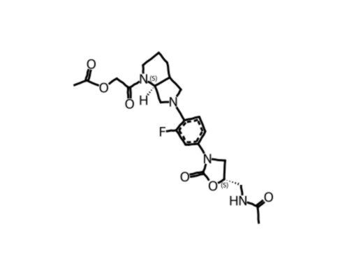 CC(=O)NC[C@H]1CN(c2ccc(N3CC4CCCN(C(=O)COC(C)=O)[C@@H]4C3)c(F)c2)C(=O)O1